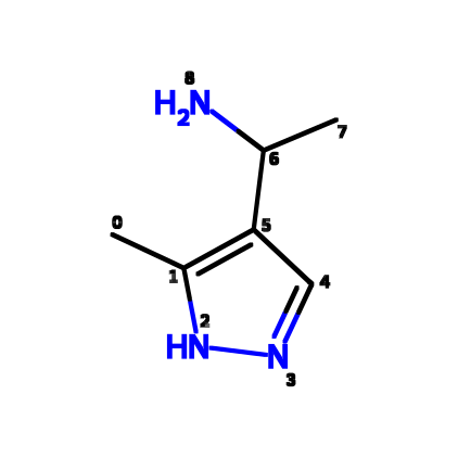 Cc1[nH]ncc1C(C)N